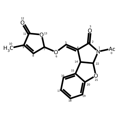 CC(=O)N1C(=O)/C(=C/OC2C=C(C)C(=O)O2)C2c3ccccc3OC21